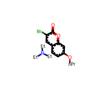 CCCOc1ccc2cc(Br)c(=O)oc2c1.CCN(CC)CC